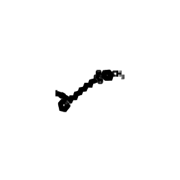 Cc1ccc(S(=O)(=O)OCCCCCCCCCCC[N+]2(CC#CI)CCCCC2)cc1